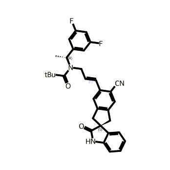 C[C@H](c1cc(F)cc(F)c1)N(C/C=C/c1cc2c(cc1C#N)C[C@]1(C2)C(=O)Nc2ccccc21)C(=O)C(C)(C)C